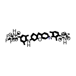 Cc1ccc(S(=O)(=O)NS(C)(=O)=O)c(C)c1/N=c1\ccc2cc3ccc(Nc4c(C)cc(S(=O)(=O)NS(=O)(=O)C(F)(F)F)cc4C)cc3oc-2c1